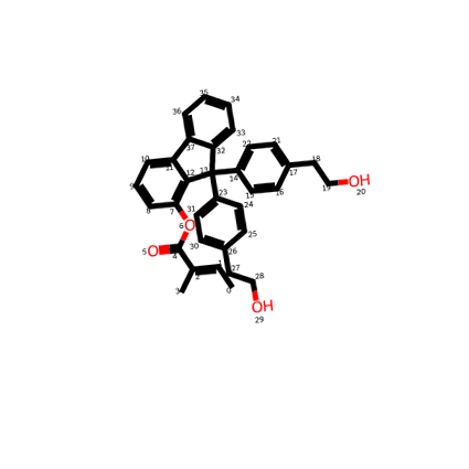 CC=C(C)C(=O)Oc1cccc2c1C(c1ccc(CCO)cc1)(c1ccc(CCO)cc1)c1ccccc1-2